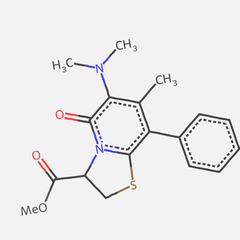 COC(=O)C1CSc2c(-c3ccccc3)c(C)c(N(C)C)c(=O)n21